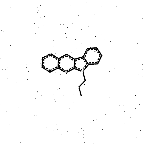 CCCn1c2ccccc2c2cc3ccccc3nc21